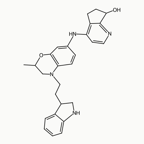 CC1CN(CCC2CNc3ccccc32)c2ccc(Nc3ccnc4c3CCC4O)cc2O1